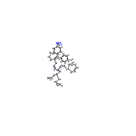 C=CC(/C=C(C)\C=C/CC1=C(c2ccc(C[C@@H]3CC=CCCC3)cc2)c2ccc(N)cc2CCC1)CCC